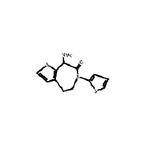 CNC1C(=O)N(c2cccs2)CCc2ccsc21